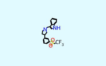 O=S(=O)(CC(F)(F)F)c1cccc(C2CCN(Cc3c[nH]c4ccccc34)C2)c1